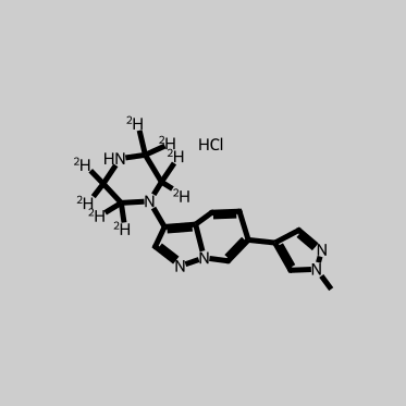 Cl.[2H]C1([2H])NC([2H])([2H])C([2H])([2H])N(c2cnn3cc(-c4cnn(C)c4)ccc23)C1([2H])[2H]